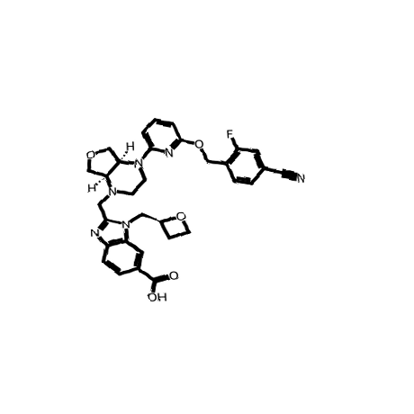 N#Cc1ccc(COc2cccc(N3CCN(Cc4nc5ccc(C(=O)O)cc5n4C[C@@H]4CCO4)[C@H]4COC[C@H]43)n2)c(F)c1